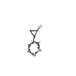 ClC1CC1c1ccnnc1